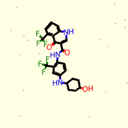 O=C(Nc1ccc(NC2CCC(O)CC2)cc1C(F)(F)F)c1c[nH]c2cccc(C(F)(F)F)c2c1=O